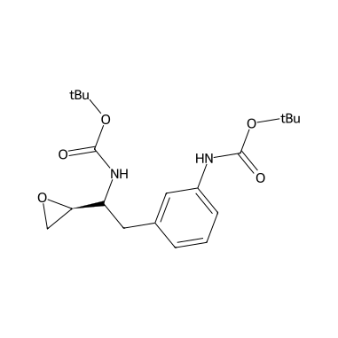 CC(C)(C)OC(=O)Nc1cccc(CC(NC(=O)OC(C)(C)C)[C@H]2CO2)c1